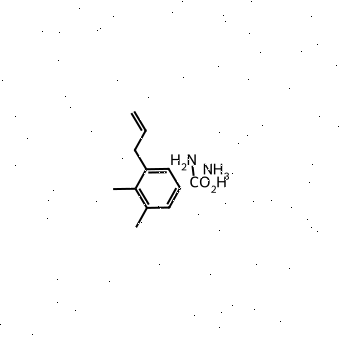 C=CCc1cccc(C)c1C.N.NC(=O)O